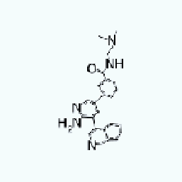 CN(C)CCNC(=O)c1cccc(-c2cnc(N)c(-c3cncc4ccccc34)c2)c1